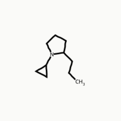 CCCC1CCCN1C1CC1